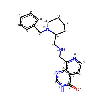 O=c1[nH]cnc2c(CNCC3CCCCN3Cc3ccccc3)nccc12